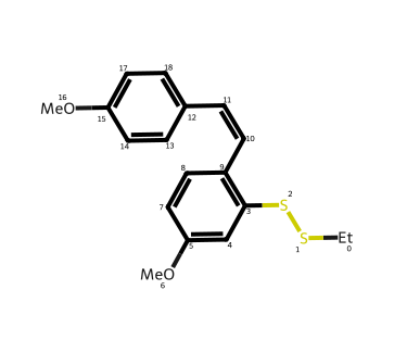 CCSSc1cc(OC)ccc1/C=C\c1ccc(OC)cc1